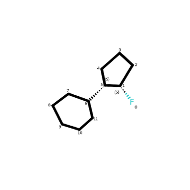 F[C@H]1CCC[C@H]1C1CCCCC1